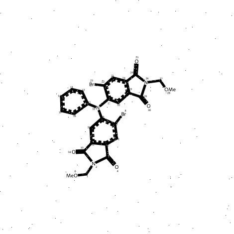 COCN1C(=O)c2cc(Br)c(N(c3ccccc3)c3cc4c(cc3Br)C(=O)N(COC)C4=O)cc2C1=O